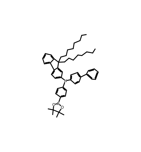 CCCCCCCCC1(CCCCCCCC)c2ccccc2-c2ccc(N(c3ccc(B4OC(C)(C)C(C)(C)O4)cc3)c3ccc(-c4ccccc4)cc3)cc21